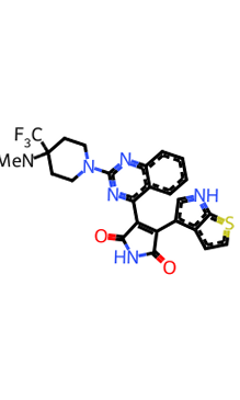 CNC1(C(F)(F)F)CCN(c2nc(C3=C(c4c[nH]c5sccc45)C(=O)NC3=O)c3ccccc3n2)CC1